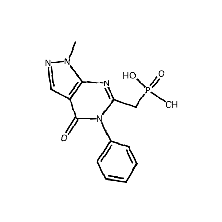 Cn1ncc2c(=O)n(-c3ccccc3)c(CP(=O)(O)O)nc21